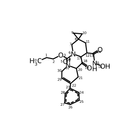 CCCOC(=O)N1CC2(CC2)CC(C(=O)NO)C1C(=O)C1CC(c2ccccc2)=CCN1